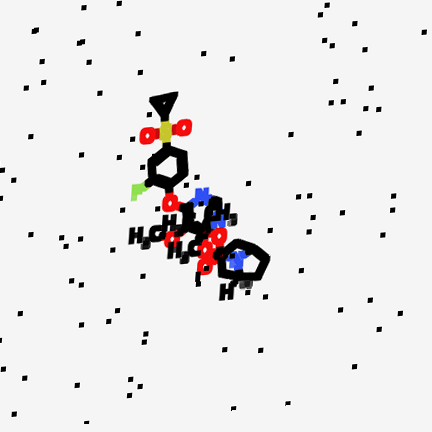 COc1c(Oc2ccc(S(=O)(=O)C3CC3)cc2F)ncnc1OC1CC2CC[C@@H](C1)N2C(=O)OC(C)(C)C